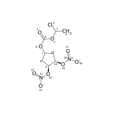 CC(Cl)OC(=O)OC1C[C@H](O[N+](=O)[O-])[C@H](O[N+](=O)[O-])C1